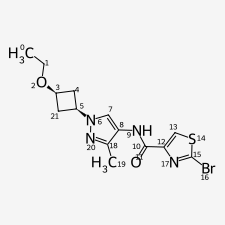 CCO[C@H]1C[C@@H](n2cc(NC(=O)c3csc(Br)n3)c(C)n2)C1